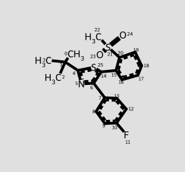 CC(C)(C)c1nc(-c2ccc(F)cc2)c(-c2ccccc2S(C)(=O)=O)s1